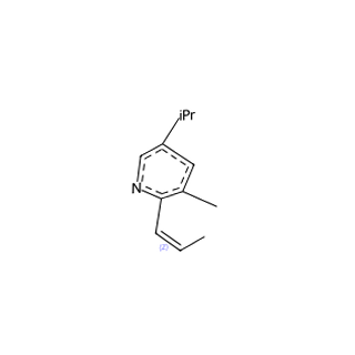 C/C=C\c1ncc(C(C)C)cc1C